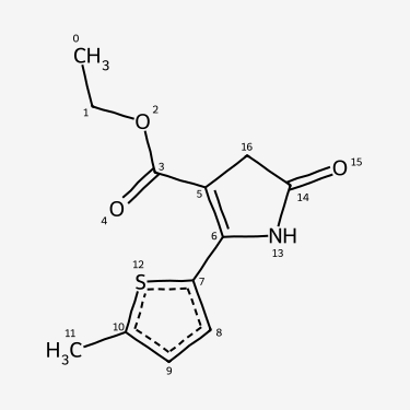 CCOC(=O)C1=C(c2ccc(C)s2)NC(=O)C1